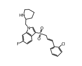 O=S(=O)(CC=Cc1ccccc1Cl)c1cn(CC2CCCCN2)c2cc(F)ccc12